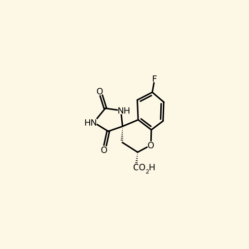 O=C1NC(=O)[C@@]2(C[C@@H](C(=O)O)Oc3ccc(F)cc32)N1